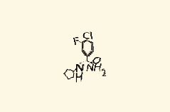 NC(=O)[C@H](CNC1CCCC1)c1ccc(Cl)c(F)c1